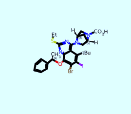 CCSc1nc(N2C[C@@H]3C[C@H]2CN3C(=O)O)c2c(C(C)(C)C)c(I)c(Br)c(O[C@@H](C)c3ccccc3)c2n1